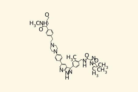 CNC(=O)C(CCC=O)c1ccc(CCN2CCN(c3ccc(-c4cnc5[nH]nc(-c6ccc(CNC(=O)c7noc(C(C)(C)C)n7)c(C)c6)c5c4)cc3)CC2)cc1